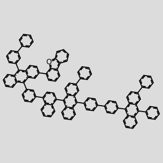 c1ccc(-c2cccc(-c3c4ccccc4c(-c4cccc(-c5ccc(-c6c7ccccc7c(-c7ccc(-c8ccc(-c9c%10ccccc%10c(-c%10ccccc%10)c%10cc(-c%11ccccc%11)ccc9%10)cc8)cc7)c7cc(-c8ccccc8)ccc67)c6ccccc56)c4)c4cc(-c5cccc6c5oc5ccccc56)ccc34)c2)cc1